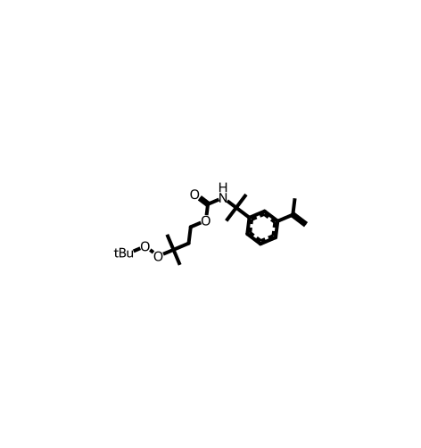 C=C(C)c1cccc(C(C)(C)NC(=O)OCCC(C)(C)OOC(C)(C)C)c1